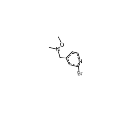 CON(C)Cc1ccnc(Br)c1